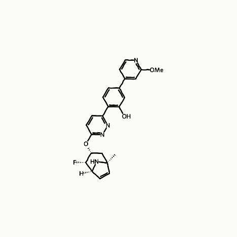 COc1cc(-c2ccc(-c3ccc(O[C@@H]4C[C@@]5(C)C=C[C@H](N5)[C@@H]4F)nn3)c(O)c2)ccn1